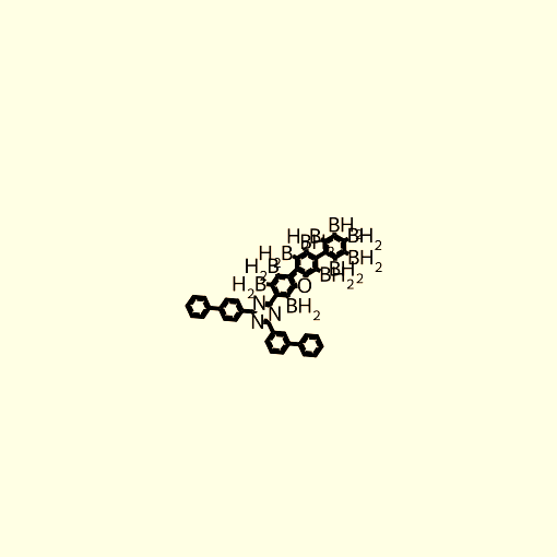 Bc1c(B)c(B)c(-c2c(B)c(B)c3c(oc4c(B)c(-c5nc(-c6ccc(-c7ccccc7)cc6)nc(-c6cccc(-c7ccccc7)c6)n5)c(B)c(B)c43)c2B)c(B)c1B